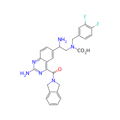 Nc1nc(C(=O)N2Cc3ccccc3C2)c2cc(C(N)CN(Cc3ccc(F)c(F)c3)C(=O)O)ccc2n1